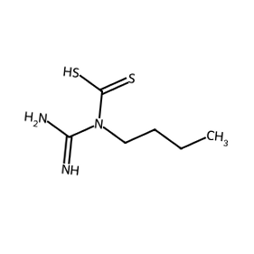 CCCCN(C(=N)N)C(=S)S